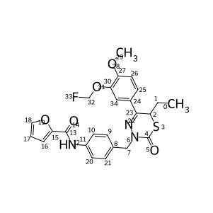 CCC1SC(=O)N(Cc2ccc(NC(=O)c3ccco3)cc2)N=C1c1ccc(OC)c(OCF)c1